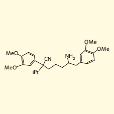 COc1ccc(CC(N)CCCC(C#N)(c2ccc(OC)c(OC)c2)C(C)C)cc1OC